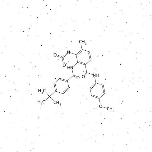 COc1ccc(NC(=O)c2ccc(C)c(N=S(=O)=O)c2NC(=O)c2ccc(C(C)(C)C)cc2)cc1